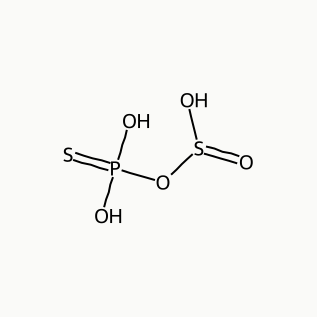 O=S(O)OP(O)(O)=S